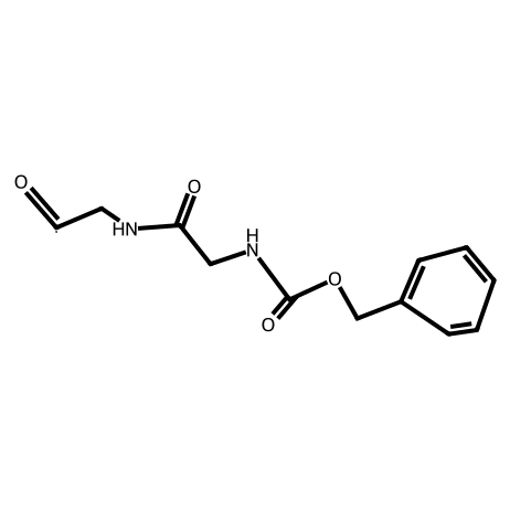 O=[C]CNC(=O)CNC(=O)OCc1ccccc1